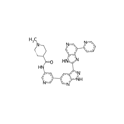 CN1CCC(C(=O)Nc2cncc(-c3cnc4[nH]nc(-c5nc6c(-c7ccccn7)cncc6[nH]5)c4c3)c2)CC1